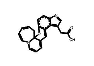 O=C(O)CC1=c2c(ccc3c2=CC2=CC=CN4C=CC=CCC24O3)N=C1